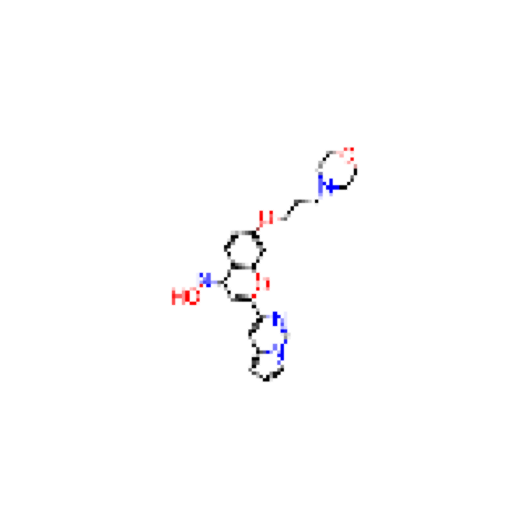 O/N=c1\cc(-c2cc3cccn3cn2)oc2cc(OCCCN3CCOCC3)ccc12